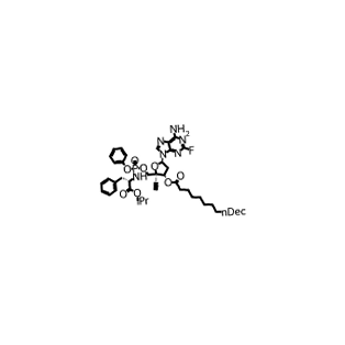 C#C[C@]1(CO[P@@](=O)(N[C@@H](Cc2ccccc2)C(=O)OC(C)C)Oc2ccccc2)O[C@@H](n2cnc3c(N)nc(F)nc32)C[C@@H]1OC(=O)CCCCCCCCCCCCCCCCC